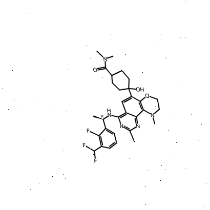 Cc1nc(N[C@H](C)c2cccc(C(F)F)c2F)c2cc(C3(O)CCC(C(=O)N(C)C)CC3)c3c(c2n1)N(C)CCO3